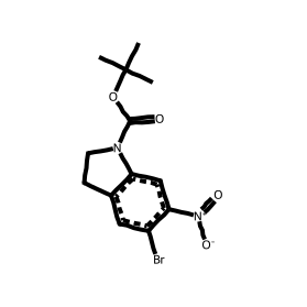 CC(C)(C)OC(=O)N1CCc2cc(Br)c([N+](=O)[O-])cc21